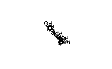 O=C(Cc1ccc(CO)cc1)Nc1nc(-c2cccc(O)c2O)cs1